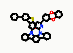 c1ccc(-c2ccc3sc4ccc(-n5c6ccccc6c6ccc7c8ccccc8n(-c8cccc(-c9ccc%10c(c9)Oc9ccccc9O%10)n8)c7c65)cc4c3c2)cc1